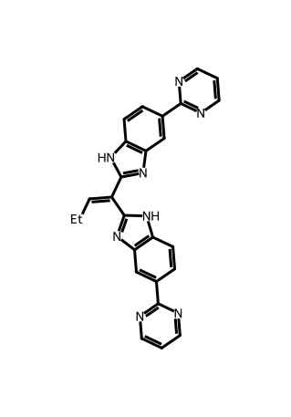 CCC=C(c1nc2cc(-c3ncccn3)ccc2[nH]1)c1nc2cc(-c3ncccn3)ccc2[nH]1